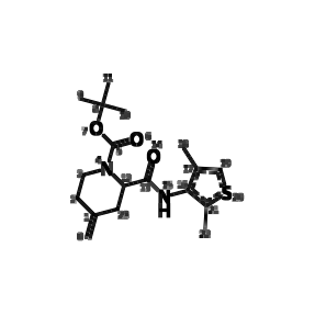 C=C1CCN(C(=O)OC(C)(C)C)C(C(=O)Nc2c(C)csc2C)C1